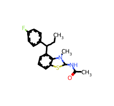 CCC(c1ccc(F)cc1)c1cccc2c1N(C)C(NC(C)=O)S2